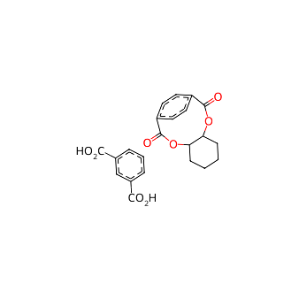 O=C(O)c1cccc(C(=O)O)c1.O=C1OC2CCCCC2OC(=O)c2ccc1cc2